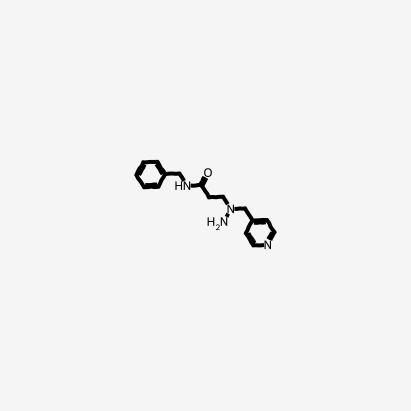 NN(CCC(=O)NCc1ccccc1)Cc1ccncc1